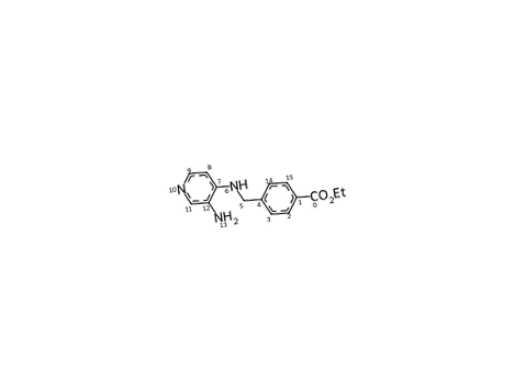 CCOC(=O)c1ccc(CNc2ccncc2N)cc1